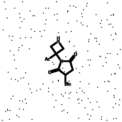 CC(=O)C1(N2C(=O)CC(C(C)(C)C)C2=O)CNC1